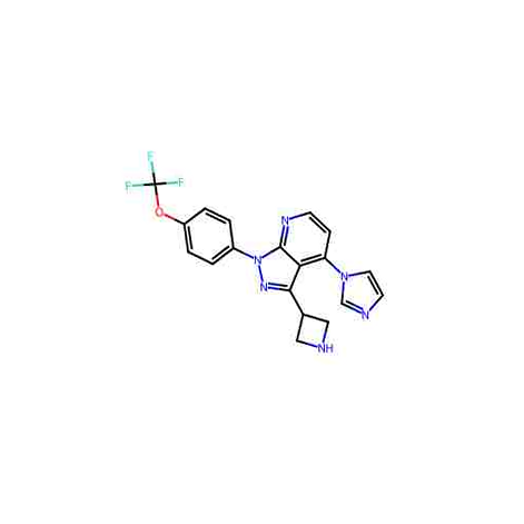 FC(F)(F)Oc1ccc(-n2nc(C3CNC3)c3c(-n4ccnc4)ccnc32)cc1